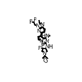 CNc1nc(N[C@@H]2CN(C3COC3)CC2(F)F)nn2ccc(-c3ccc4nc(C)n(CC(F)F)c4n3)c12